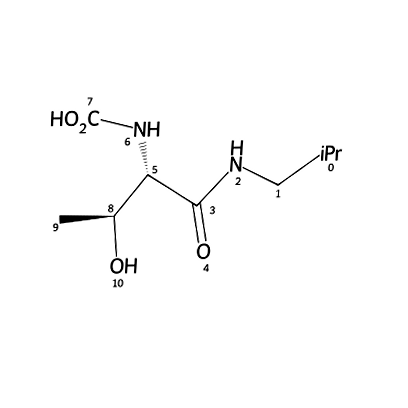 CC(C)CNC(=O)[C@@H](NC(=O)O)[C@H](C)O